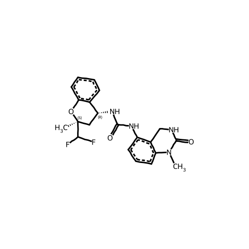 CN1C(=O)NCc2c(NC(=O)N[C@@H]3C[C@@](C)(C(F)F)Oc4ccccc43)cccc21